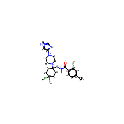 O=C(NCC1(N2CCN(c3c[nH]cn3)CC2)CCC(F)(F)CC1)c1ccc(C(F)(F)F)cc1F